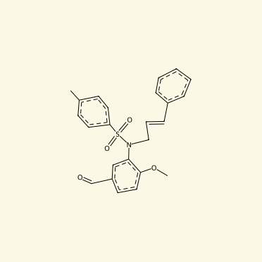 COc1ccc(C=O)cc1N(CC=Cc1ccccc1)S(=O)(=O)c1ccc(C)cc1